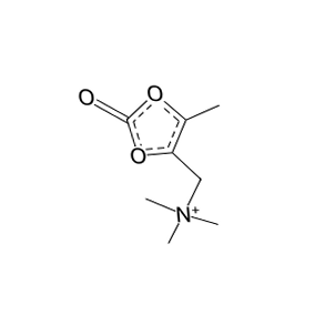 Cc1oc(=O)oc1C[N+](C)(C)C